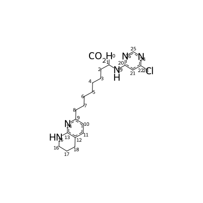 O=C(O)C(CCCCCCCc1ccc2c(n1)NCCC2)Nc1cc(Cl)ncn1